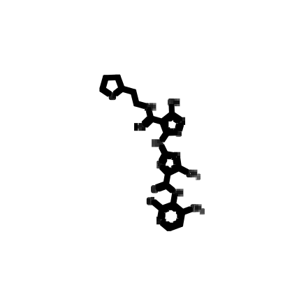 Cc1ccnc(Cl)c1NC(=O)c1sc(Nc2snc(O)c2C(=N)NCCC2CCCO2)nc1C